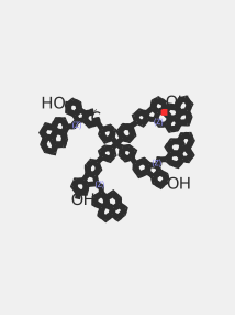 Oc1ccc2c(c1)/C(=C\c1ccc3ccc4cccc5ccc1c3c45)c1cc(-c3ccc(C(c4ccc(-c5ccc6c(c5)/C(=C/c5ccc7ccc8cccc9ccc5c7c89)c5cc(O)ccc5-6)cc4)(c4ccc(-c5ccc6c(c5)/C(=C/c5ccc7ccc8cccc9ccc5c7c89)c5cc(O)ccc5-6)cc4)c4ccc(-c5ccc6c(c5)/C(=C/c5ccc7ccc8cccc9ccc5c7c89)c5cc(O)ccc5-6)cc4)cc3)ccc1-2